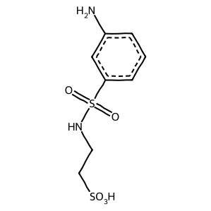 Nc1cccc(S(=O)(=O)NCCS(=O)(=O)O)c1